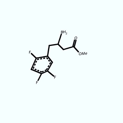 BC(CC(=O)OC)Cc1cc(F)c(F)cc1F